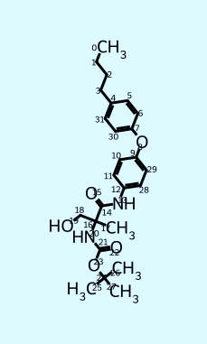 CCCCc1ccc(Oc2ccc(NC(=O)C(C)(CO)NC(=O)OC(C)(C)C)cc2)cc1